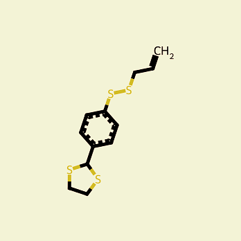 C=CCSSc1ccc(C2SCCS2)cc1